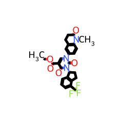 CCOC(=O)c1cn(-c2ccc3c(c2)CCC(=O)N3C)c(=O)n(C2CCc3c2cccc3C(F)(F)F)c1=O